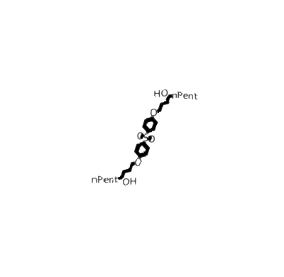 CCCCCC(O)CCCOc1ccc(S(=O)(=O)c2ccc(OCCCC(O)CCCCC)cc2)cc1